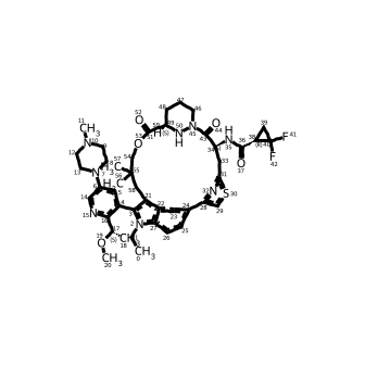 CCn1c(-c2cc(N3CCN(C)CC3)cnc2[C@H](C)OC)c2c3cc(ccc31)-c1csc(n1)C[C@H](NC(=O)[C@H]1CC1(F)F)C(=O)N1CCC[C@H](N1)C(=O)OCC(C)(C)C2